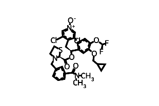 CN(C)C(=O)c1cccc(CN2CCS[C@H]2C(=O)O[C@@H](Cc2c(Cl)c[n+]([O-])cc2Cl)c2ccc(OC(F)F)c(OCC3CC3)c2)c1